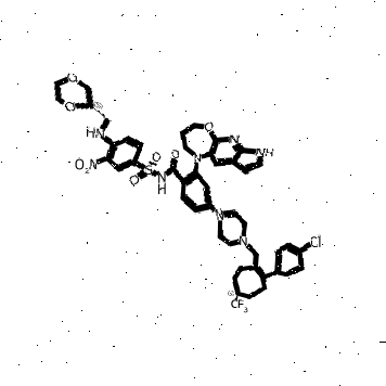 O=C(NS(=O)(=O)c1ccc(NC[C@H]2COCCO2)c([N+](=O)[O-])c1)c1ccc(N2CCN(CC3=C(c4ccc(Cl)cc4)CC[C@H](C(F)(F)F)CC3)CC2)cc1N1CCCOc2nc3[nH]ccc3cc21